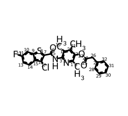 Cc1nc(NC(=O)c2sc3cc(F)ccc3c2Cl)c(C)c(C)c1OC(=O)Cc1ccccc1